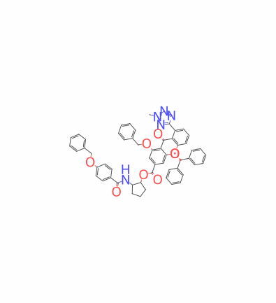 Cn1nnc(-c2cccc(OCc3ccccc3)c2C(=O)c2c(OCc3ccccc3)cc(C(=O)OC3CCCC3NC(=O)c3ccc(OCc4ccccc4)cc3)cc2OCc2ccccc2)n1